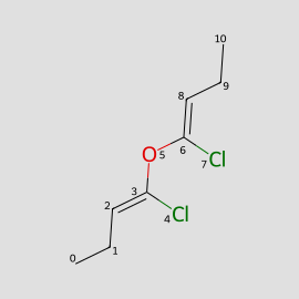 CC/C=C(\Cl)O/C(Cl)=C/CC